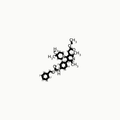 CCOC(=O)Cc1c(C)nc(C)c(-c2ccc(NC(=O)OCc3ccccc3)cc2)c1N1CCC(C)(C)CC1